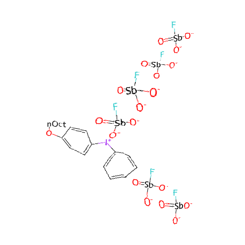 CCCCCCCCOc1ccc([I+]c2ccccc2)cc1.[O]=[Sb]([O-])([O-])[F].[O]=[Sb]([O-])([O-])[F].[O]=[Sb]([O-])([O-])[F].[O]=[Sb]([O-])([O-])[F].[O]=[Sb]([O-])([O-])[F].[O]=[Sb]([O-])([O-])[F]